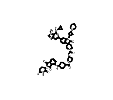 CC(C)n1cnc2cc(-c3ccc4c(c3)N(C3CC(N5CCCCC5)C3)C(=O)C43CCN(C(=O)C[C@@H]4CCN(C(=O)C5CCC(Nc6cccc7c6C(=O)N([C@@H]6CCC(=O)NC6=O)C7=O)CC5)C4)CC3)nc(NC3CC3)c21